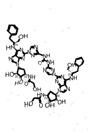 O=C(CO)N[C@H]1C[C@@H](n2cnc3c(N[C@H](CO)Cc4ccccc4)nc(-n4cnc(NC(=O)Nc5ncn(-c6nc(N[C@H](CO)Cc7ccccc7)c7ncn([C@@H]8C[C@H](NC(=O)CO)[C@@H](O)[C@H]8O)c7n6)n5)n4)nc32)[C@H](O)[C@@H]1O